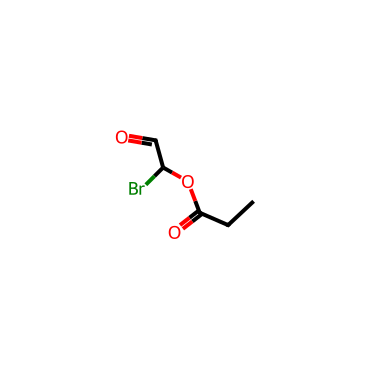 CCC(=O)OC(Br)C=O